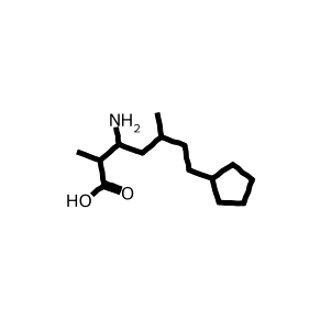 CC(CCC1CCCC1)CC(N)C(C)C(=O)O